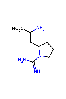 N=C(N)N1CCCC1CC(N)C(=O)O